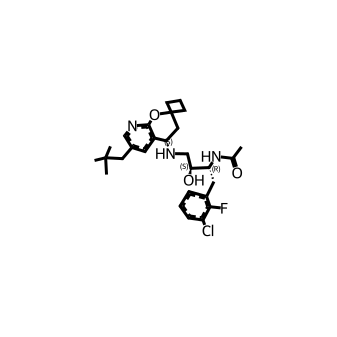 CC(=O)N[C@H](Cc1cccc(Cl)c1F)[C@@H](O)CN[C@H]1CC2(CCC2)Oc2ncc(CC(C)(C)C)cc21